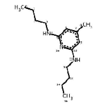 CCCCNc1cc(C)cc(NCCCC)n1